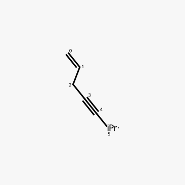 C=CCC#C[C](C)C